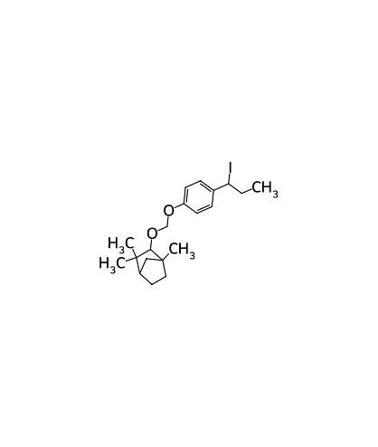 CCC(I)c1ccc(OCOC2C3(C)CCC(C3)C2(C)C)cc1